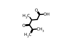 C=C(C)C(=O)C(C)CC(=O)O